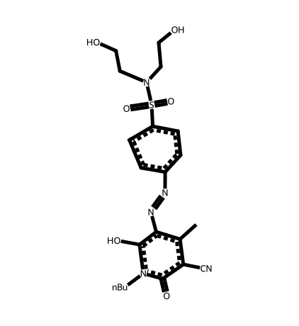 CCCCn1c(O)c(N=Nc2ccc(S(=O)(=O)N(CCO)CCO)cc2)c(C)c(C#N)c1=O